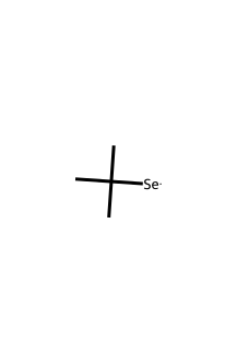 CC(C)(C)[Se]